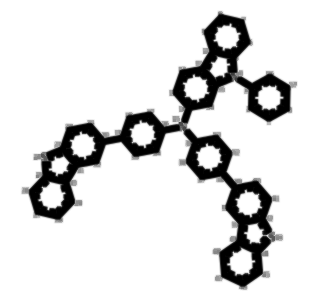 c1ccc(-n2c3ccccc3c3ccc(N(c4ccc(-c5ccc6sc7ccccc7c6c5)cc4)c4ccc(-c5ccc6sc7ccccc7c6c5)cc4)cc32)cc1